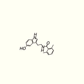 Cc1cccc(C)c1C(=O)NCCc1c[nH]c2ccc(O)cc12